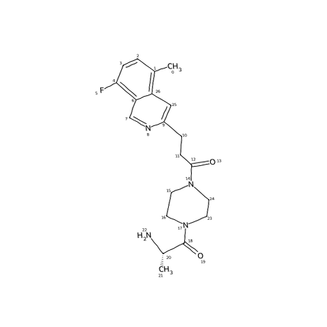 Cc1ccc(F)c2cnc(CCC(=O)N3CCN(C(=O)[C@H](C)N)CC3)cc12